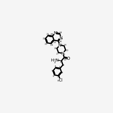 N[C@H](Cc1cccc(Cl)c1)C(=O)N1CCN(c2ncnc3ccccc23)CC1